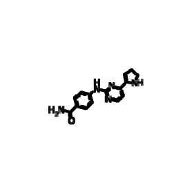 NC(=O)c1ccc(Nc2nccc(C3=CCCN3)n2)cc1